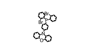 Brc1ccccc1P(c1ccc(N2c3ccccc3Oc3ccccc32)cc1)c1ccccc1Br